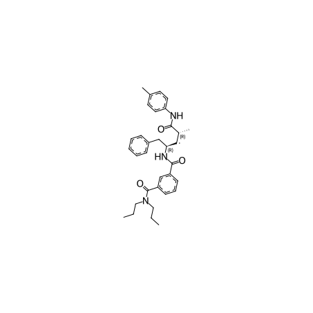 CCCN(CCC)C(=O)c1cccc(C(=O)N[C@H]([CH][C@@H](C)C(=O)Nc2ccc(C)cc2)Cc2ccccc2)c1